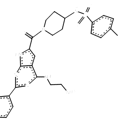 CC(=O)NCCNc1nc(-c2ccccc2)nc2[nH]c(C(=O)N3CCC(NS(=O)(=O)c4ccc(C)cc4)CC3)cc12